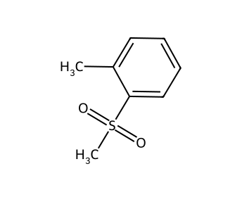 Cc1ccccc1S(C)(=O)=O